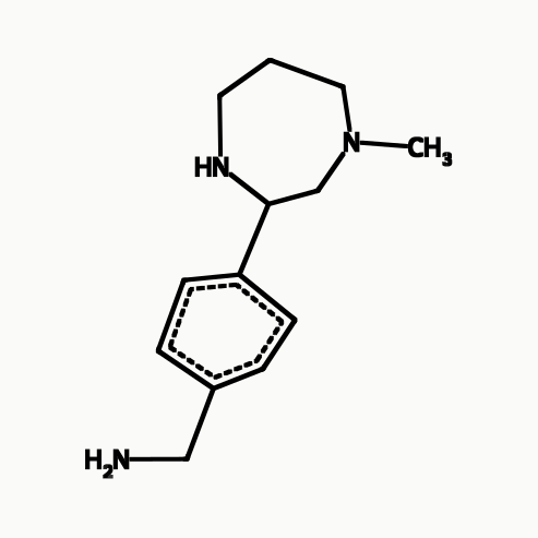 CN1CCCNC(c2ccc(CN)cc2)C1